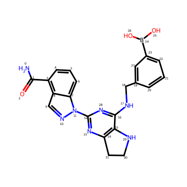 NC(=O)c1cccc2c1cnn2-c1nc2c(c(NCc3cccc(B(O)O)c3)n1)NCC2